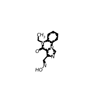 CCn1c(=O)c2c(C=NO)ncn2c2ccccc21